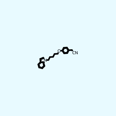 N#CCc1ccc(OCCCCCn2ccc3ccccc32)cc1